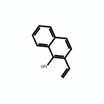 C=Cc1ccc2ccccc2c1CCC